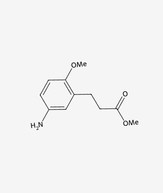 COC(=O)CCc1cc(N)ccc1OC